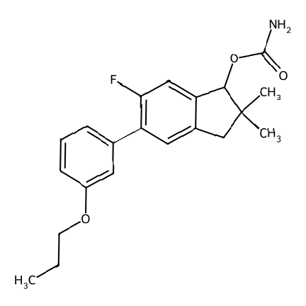 CCCOc1cccc(-c2cc3c(cc2F)C(OC(N)=O)C(C)(C)C3)c1